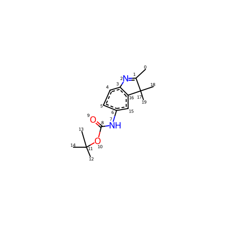 CC1=Nc2ccc(NC(=O)OC(C)(C)C)cc2C1(C)C